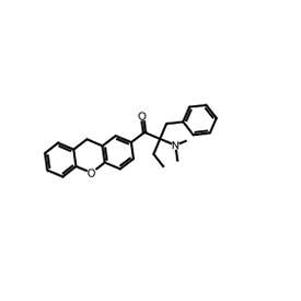 CCC(Cc1ccccc1)(C(=O)c1ccc2c(c1)Cc1ccccc1O2)N(C)C